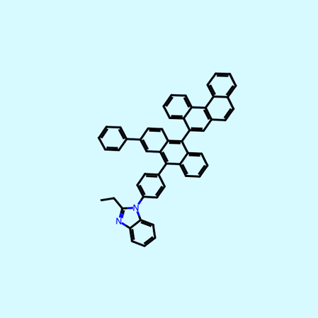 CCc1nc2ccccc2n1-c1ccc(-c2c3ccccc3c(-c3cc4ccc5ccccc5c4c4ccccc34)c3ccc(-c4ccccc4)cc23)cc1